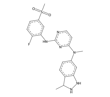 CC1NNc2cc(N(C)c3ccnc(Nc4cc(S(C)(=O)=O)ccc4F)n3)ccc21